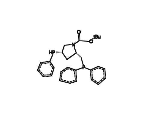 CC(C)(C)OC(=O)N1C[C@@H](Pc2ccccc2)C[C@H]1CP(c1ccccc1)c1ccccc1